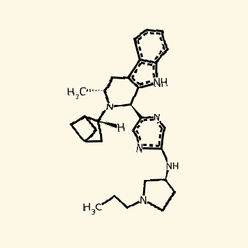 CCCN1CC[C@H](Nc2cnc([C@@H]3c4[nH]c5ccccc5c4C[C@@H](C)N3[C@@H]3CC4CC3C4)cn2)C1